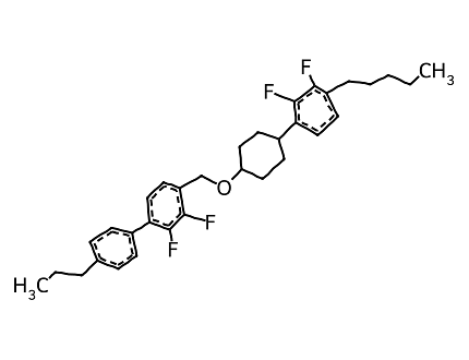 CCCCCc1ccc(C2CCC(OCc3ccc(-c4ccc(CCC)cc4)c(F)c3F)CC2)c(F)c1F